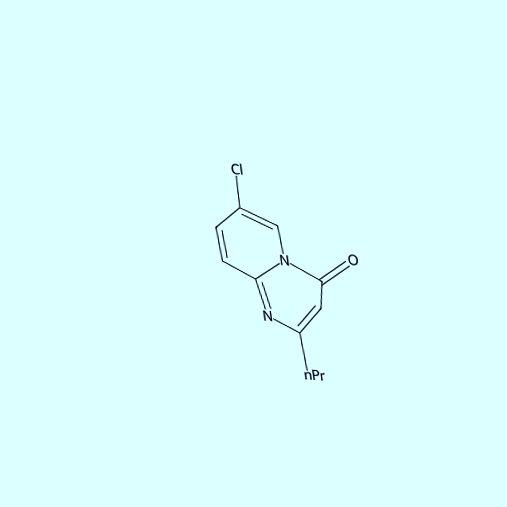 CCCc1cc(=O)n2cc(Cl)ccc2n1